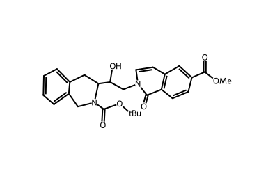 COC(=O)c1ccc2c(=O)n(CC(O)C3Cc4ccccc4CN3C(=O)OC(C)(C)C)ccc2c1